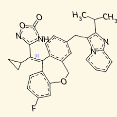 CC(C)c1nc2ccccn2c1Cc1ccc2c(c1)COc1cc(F)ccc1/C2=C(/c1noc(=O)[nH]1)C1CC1